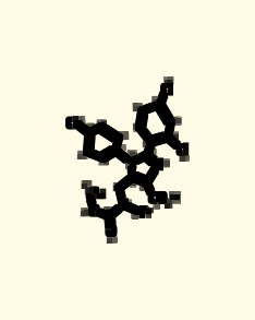 CC(C)N(Cc1c(C(=O)O)nc(-c2ccc(Cl)cc2Cl)n1-c1ccc(Cl)cc1)C(=O)OC(C)(C)C